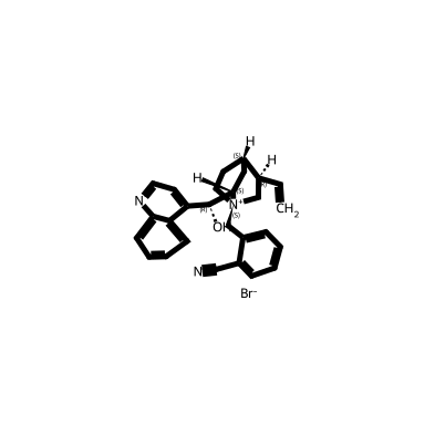 C=C[C@H]1C[N@+]2(Cc3ccccc3C#N)CC[C@H]1C[C@H]2[C@H](O)c1ccnc2ccccc12.[Br-]